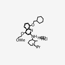 COCCOc1cc(NC2CCCN(C(C)C)C2C)nc2c(OCC3CCCCC3)cccc12.Cl.Cl.Cl